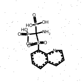 NC(P(=O)(O)O)(P(=O)(O)O)S(=O)(=O)c1cccc2cccnc12